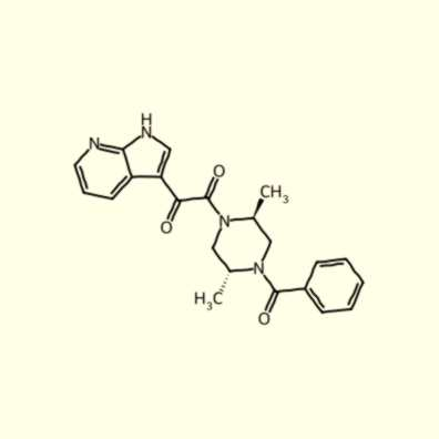 C[C@@H]1CN(C(=O)C(=O)c2c[nH]c3ncccc23)[C@@H](C)CN1C(=O)c1ccccc1